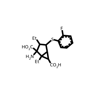 CCC1C(Sc2ccccc2F)C2C(C(=O)O)C2(CC)C1(N)C(=O)O